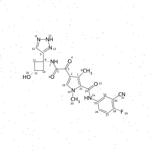 Cc1c(C(=O)C(=O)N[C@]2(c3cn[nH]n3)C[C@H](O)C2)cn(C)c1C(=O)Nc1ccc(F)c(C#N)c1